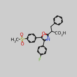 CS(=O)(=O)c1ccc(-c2oc(C(Cc3ccccc3)C(=O)O)nc2-c2ccc(F)cc2)cc1